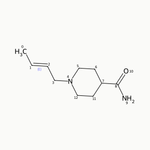 C/C=C/CN1CCC(C(N)=O)CC1